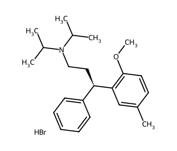 Br.COc1ccc(C)cc1[C@H](CCN(C(C)C)C(C)C)c1ccccc1